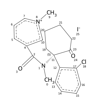 CN(C(=O)c1ccc[n+](C)c1)[C@]1(c2ccccc2Cl)CCCCC1=O.[I-]